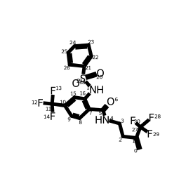 C=C(CCNC(=O)c1ccc(C(F)(F)F)cc1NS(=O)(=O)c1ccccc1)C(F)(F)F